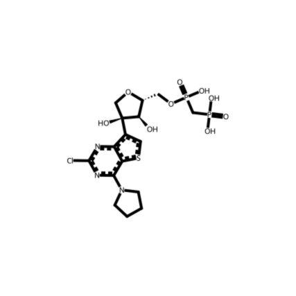 O=P(O)(O)CP(=O)(O)OC[C@H]1OC[C@@](O)(c2csc3c(N4CCCC4)nc(Cl)nc23)[C@@H]1O